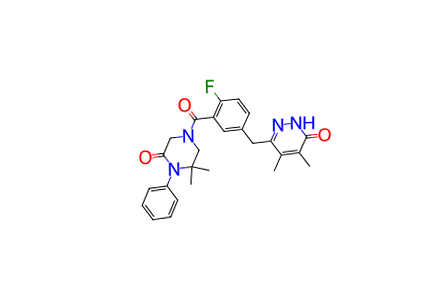 Cc1c(Cc2ccc(F)c(C(=O)N3CC(=O)N(c4ccccc4)C(C)(C)C3)c2)n[nH]c(=O)c1C